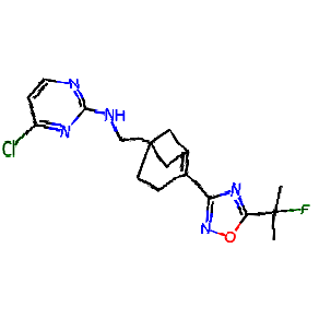 CC(C)(F)c1nc(C2=C3CC(CNc4nccc(Cl)n4)(CC2)C3)no1